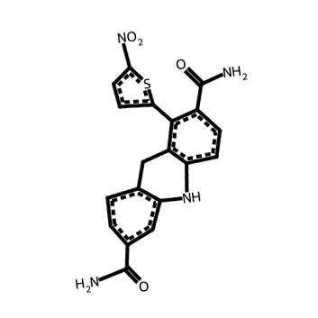 NC(=O)c1ccc2c(c1)Nc1ccc(C(N)=O)c(-c3ccc([N+](=O)[O-])s3)c1C2